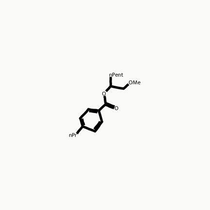 CCCCCC(COC)OC(=O)c1ccc(CCC)cc1